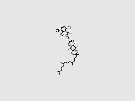 COc1c(Cl)ccc(Cl)c1C(=O)OCOC(=O)Oc1c(C)c(C)c2c(c1C)CCC(C)(CCCC(C)CCCC(C)CCCC(C)C)O2